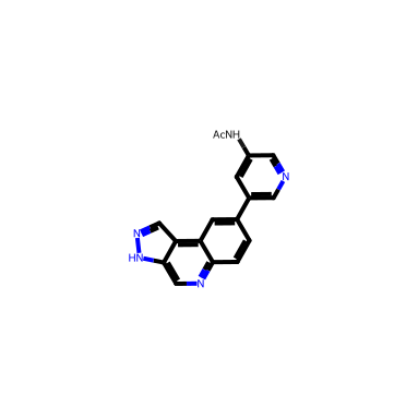 CC(=O)Nc1cncc(-c2ccc3ncc4[nH]ncc4c3c2)c1